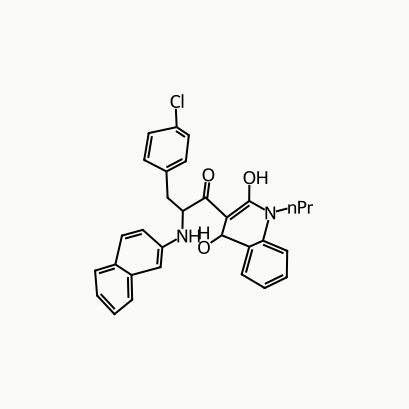 CCCN1C(O)=C(C(=O)C(Cc2ccc(Cl)cc2)Nc2ccc3ccccc3c2)C(O)c2ccccc21